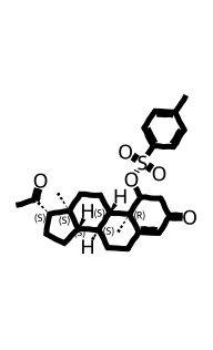 CC(=O)[C@H]1CC[C@H]2[C@@H]3CCC4=CC(=O)CC(OS(=O)(=O)c5ccc(C)cc5)[C@]4(C)[C@H]3CC[C@]12C